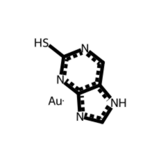 Sc1ncc2[nH]cnc2n1.[Au]